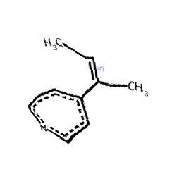 C/C=C(/C)c1ccncc1